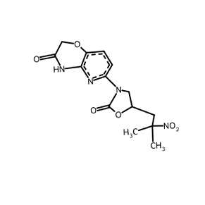 CC(C)(CC1CN(c2ccc3c(n2)NC(=O)CO3)C(=O)O1)[N+](=O)[O-]